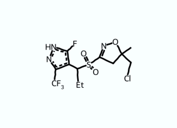 CCC(c1c(C(F)(F)F)n[nH]c1F)S(=O)(=O)C1=NOC(C)(CCl)C1